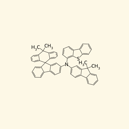 CC1(C)c2ccccc2-c2ccc(N(c3ccc4c(c3)C3(c5ccccc5-4)c4ccccc4C(C)(C)c4ccccc43)c3cccc4c3sc3ccccc34)cc21